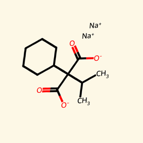 CC(C)C(C(=O)[O-])(C(=O)[O-])C1CCCCC1.[Na+].[Na+]